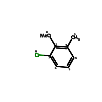 COc1c(C)[c]ccc1Cl